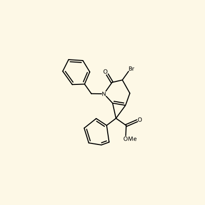 COC(=O)C1(c2ccccc2)C2=C1N(Cc1ccccc1)C(=O)C(Br)C2